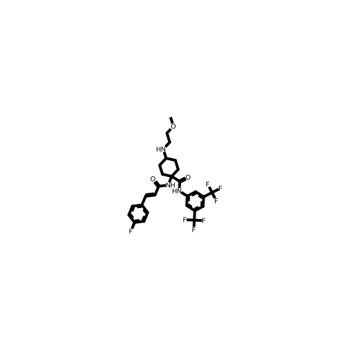 COCCNC1CCC(NC(=O)/C=C/c2ccc(F)cc2)(C(=O)Nc2cc(C(F)(F)F)cc(C(F)(F)F)c2)CC1